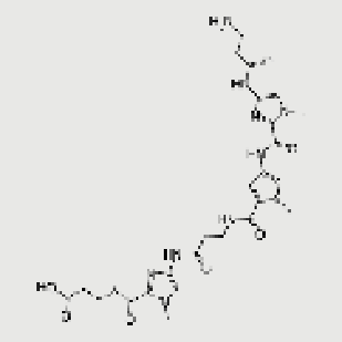 Cn1cc(NC(=O)c2nc(NC(=O)CCN)cn2C)cc1C(=O)NCCC(=O)Nc1cn(C)c(C(=O)NCCC(=O)O)n1